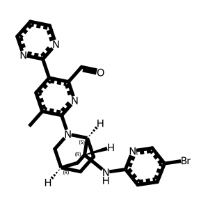 Cc1cc(-c2ncccn2)c(C=O)nc1N1C[C@@H]2CC[C@H]1[C@H](Nc1ccc(Br)cn1)C2